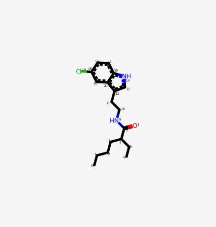 CCCCC(CC)C(=O)NCCc1c[nH]c2ccc(Cl)cc12